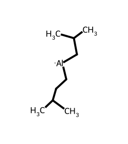 CC(C)C[CH2][Al][CH2]C(C)C